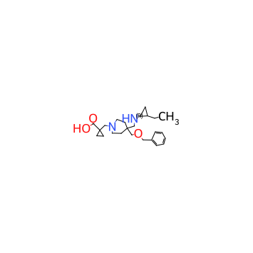 CCC1C[C@H]1NCC1(COCc2ccccc2)CCN(CC2(C(=O)O)CC2)CC1